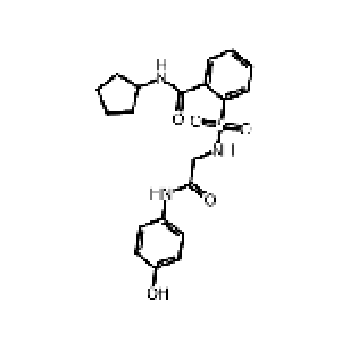 O=C(CNS(=O)(=O)c1ccccc1C(=O)NC1CCCC1)Nc1ccc(O)cc1